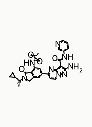 C[C@@H](C1CC1)N1Cc2cc(-c3ccn4nc(N)c(C(=O)Nc5cccnc5)c4n3)cc(NS(C)(=O)=O)c2C1=O